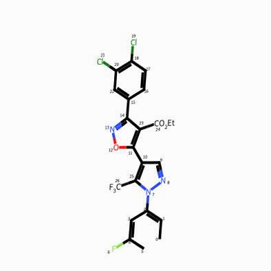 C/C=C(\C=C(/C)F)n1ncc(-c2onc(-c3ccc(Cl)c(Cl)c3)c2C(=O)OCC)c1C(F)(F)F